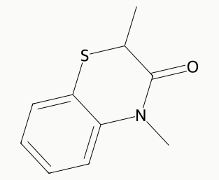 CC1Sc2ccccc2N(C)C1=O